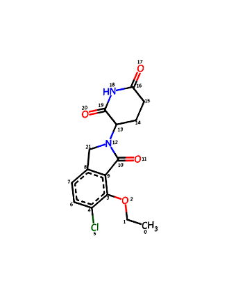 CCOc1c(Cl)ccc2c1C(=O)N(C1CCC(=O)NC1=O)C2